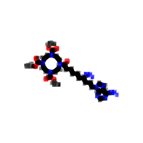 CC(C)(C)OC(=O)N1CCN(C(=O)CCCCCC(N)CCCn2cnc3c(N)ncnc32)CCN(C(=O)OC(C)(C)C)CCN(C(=O)OC(C)(C)C)CC1